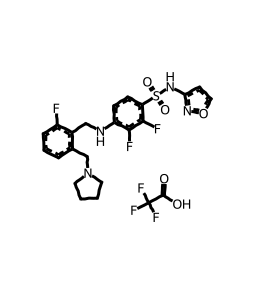 O=C(O)C(F)(F)F.O=S(=O)(Nc1ccon1)c1ccc(NCc2c(F)cccc2CN2CCCC2)c(F)c1F